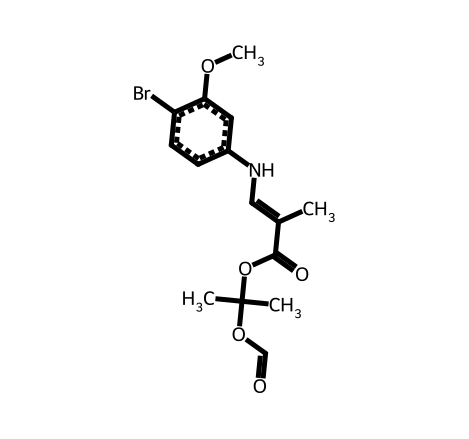 COc1cc(N/C=C(\C)C(=O)OC(C)(C)OC=O)ccc1Br